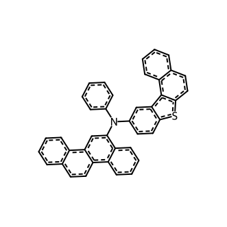 c1ccc(N(c2ccc3sc4ccc5ccccc5c4c3c2)c2cc3c4ccccc4ccc3c3ccccc23)cc1